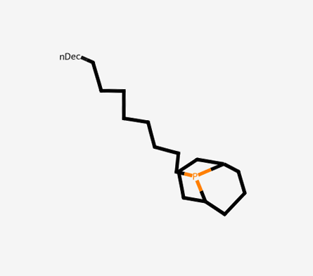 CCCCCCCCCCCCCCCCCCP1C2CCCC1CCC2